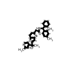 Cc1ccc(C(NC(=O)Cc2ccc3oc(C(C)(O)c4ccnc(C)c4)cc3n2)c2ccccc2)c(C)c1